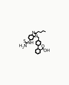 CCCCc1nc2ccc(NC(N)=S)cc2n1Cc1ccc(-c2ccccc2C(=O)O)cc1